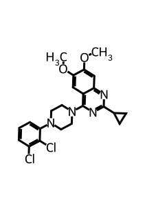 COc1cc2nc(C3CC3)nc(N3CCN(c4cccc(Cl)c4Cl)CC3)c2cc1OC